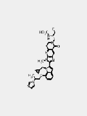 C[C@@H](COc1cccc2cc(-c3nc4cc5c(nc4n3C)CCN(C[C@@H](CF)NC(=O)O)C5=O)n(CC3CC3)c12)n1ccnc1